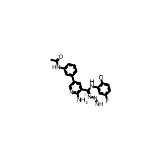 CC(=O)Nc1cccc(-c2cnc(N)c(/C(=N/N=N)Nc3cc(F)ccc3Cl)c2)c1